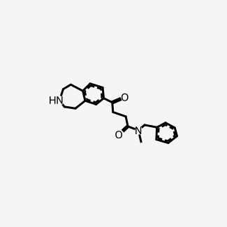 CN(Cc1ccccc1)C(=O)CCC(=O)c1ccc2c(c1)CCNCC2